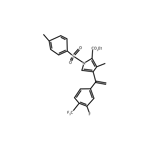 C=C(c1ccc(C(F)(F)F)c(F)c1)c1cn(S(=O)(=O)c2ccc(C)cc2)c(C(=O)OCC)c1C